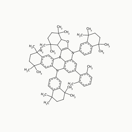 Cc1cccc(C)c1-c1cc2c3c(c1)N(c1ccc4c(c1)C(C)(C)CCC4(C)C)c1cc4c(cc1B3C1=C(OC3C1C(C)(C)CCC3(C)C)N2c1ccc2c(c1)C(C)(C)CCC2(C)C)C(C)(C)CCC4(C)C